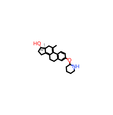 CC1=C2C(=C3CC[C@H](O)[C@@]3(C)C1)CCc1cc(OC3CCCCN3)ccc12